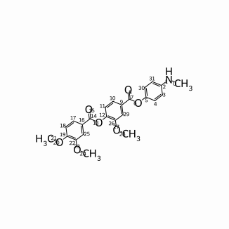 CNc1ccc(OC(=O)c2ccc(OC(=O)c3ccc(OC)c(OC)c3)c(OC)c2)cc1